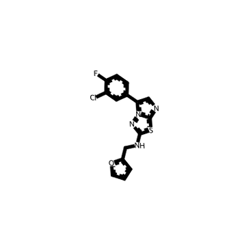 Fc1ccc(-c2cnc3sc(NCc4ccco4)nn23)cc1Cl